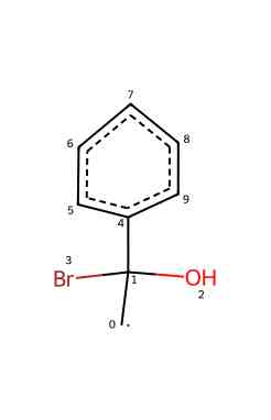 [CH2]C(O)(Br)c1ccccc1